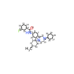 CC1CCC(c2cccc(NC(=O)c3cccc(F)c3)c2)(N2CCN(c3ccccc3)CC2)CC1